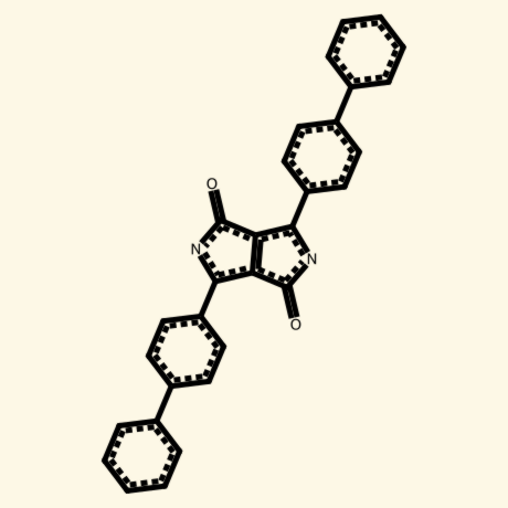 O=c1nc(-c2ccc(-c3ccccc3)cc2)c2c(=O)nc(-c3ccc(-c4ccccc4)cc3)c1=2